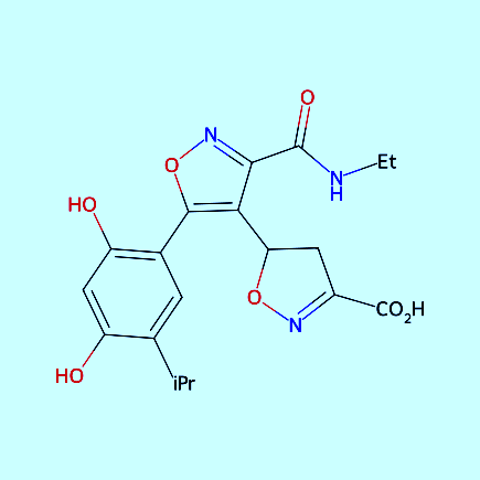 CCNC(=O)c1noc(-c2cc(C(C)C)c(O)cc2O)c1C1CC(C(=O)O)=NO1